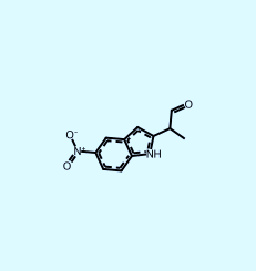 CC(C=O)c1cc2cc([N+](=O)[O-])ccc2[nH]1